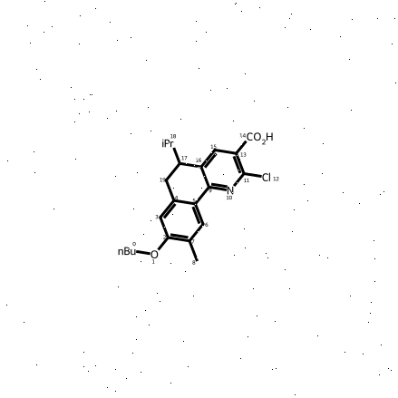 CCCCOc1cc2c(cc1C)-c1nc(Cl)c(C(=O)O)cc1C(C(C)C)C2